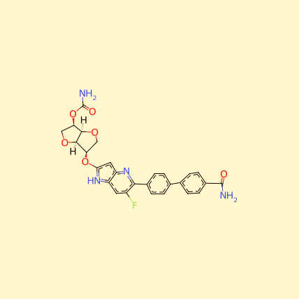 NC(=O)O[C@@H]1CO[C@H]2[C@@H]1OC[C@H]2Oc1cc2nc(-c3ccc(-c4ccc(C(N)=O)cc4)cc3)c(F)cc2[nH]1